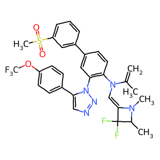 C=C(C)N(/C=C1\N(C)C(C)C1(F)F)c1ccc(-c2cccc(S(C)(=O)=O)c2)cc1-n1nncc1-c1ccc(OC(F)(F)F)cc1